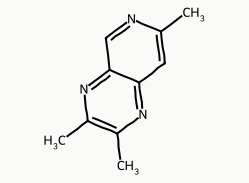 Cc1cc2nc(C)c(C)nc2cn1